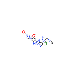 COCCN1CCN(c2ccc(-c3nc4c(NC5CCN(CC6CC6)CC5)c(Cl)cnc4[nH]3)cc2OC)CC1